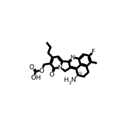 CCCc1cc2n(c(=O)c1COC(=O)O)Cc1c-2nc2cc(F)c(C)c3c2c1[C@@H](N)CC3